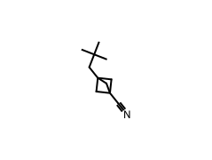 CC(C)(C)CC12CC(C#N)(C1)C2